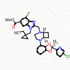 COC(=O)c1cc(F)c2nc(CN3CCN(c4cccc5c4O[C@](C)(c4ccc(Cl)cn4)O5)[C@@H]4CC[C@H]43)n(CC3(CC#N)CC3)c2c1